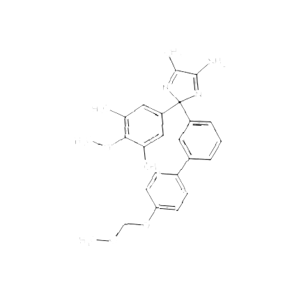 COCOc1ccc(-c2cccc(C3(c4cc(C)c(OC)c(C)c4)N=C(C)C(N)=N3)c2)cc1